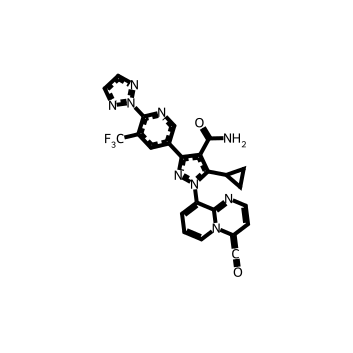 NC(=O)c1c(-c2cnc(-n3nccn3)c(C(F)(F)F)c2)nn(C2=CC=CN3C(=C=O)C=CN=C23)c1C1CC1